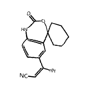 CCC/C(=C/C#N)c1ccc2c(c1)C1(CCCCC1)OC(=O)N2